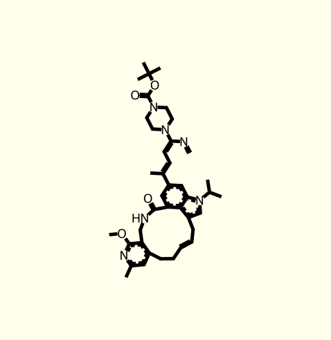 C=N/C(=C\C=C(/C)c1cc2c3c(cn(C(C)C)c3c1)C/C=C/CCc1cc(C)nc(OC)c1CNC2=O)N1CCN(C(=O)OC(C)(C)C)CC1